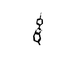 Cc1ccc2oc(-c3ccc(F)cc3)nc2c1